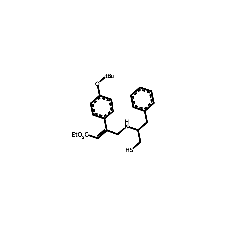 CCOC(=O)C=C(CNC(CS)Cc1ccccc1)c1ccc(OC(C)(C)C)cc1